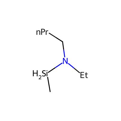 CCCCN(CC)[SiH2]C